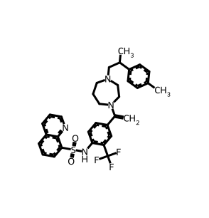 C=C(c1ccc(NS(=O)(=O)c2cccc3cccnc23)c(C(F)(F)F)c1)N1CCCN(CC(C)c2ccc(C)cc2)CC1